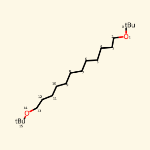 CC(C)(C)OCCCCCCCCCCCCOC(C)(C)C